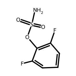 NS(=O)(=O)Oc1c(F)cccc1F